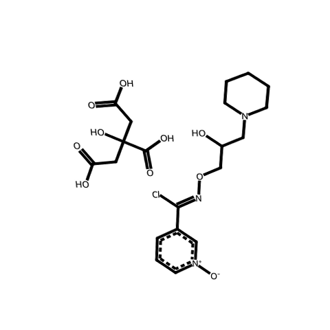 O=C(O)CC(O)(CC(=O)O)C(=O)O.[O-][n+]1cccc(C(Cl)=NOCC(O)CN2CCCCC2)c1